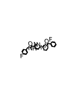 O=C(NCc1ccc(F)cc1)c1ccc(N2CCCN(C(=O)c3ccccc3F)C2)nn1